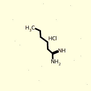 CCCCCC(=N)N.Cl